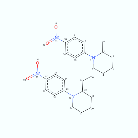 CC1CCCCN1c1ccc([N+](=O)[O-])cc1.CCC1CCCCN1c1ccc([N+](=O)[O-])cc1